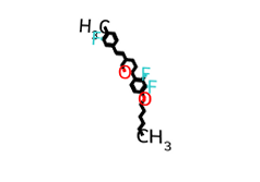 CCCCCCOc1ccc(C2CCC(/C=C/c3ccc(C)c(F)c3)CO2)c(F)c1F